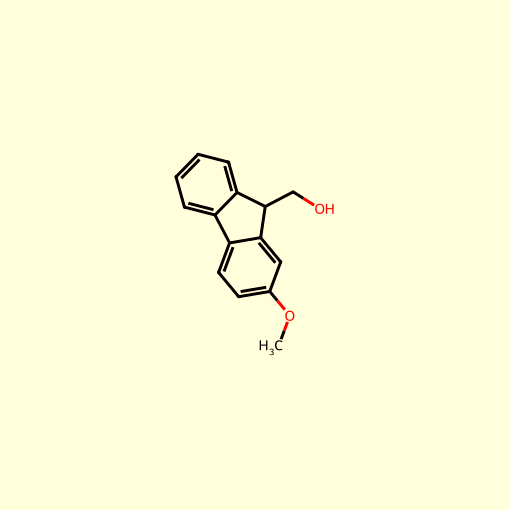 COc1ccc2c(c1)C(CO)c1ccccc1-2